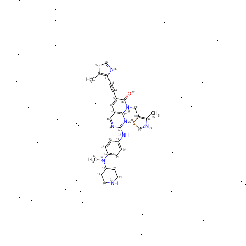 CC1=C(C#Cc2cc3cnc(Nc4ccc(N(C)C5CCNCC5)cc4)nc3n(Cc3scnc3C)c2=O)N=CC1